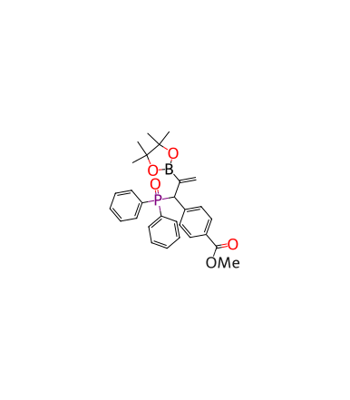 C=C(B1OC(C)(C)C(C)(C)O1)C(c1ccc(C(=O)OC)cc1)P(=O)(c1ccccc1)c1ccccc1